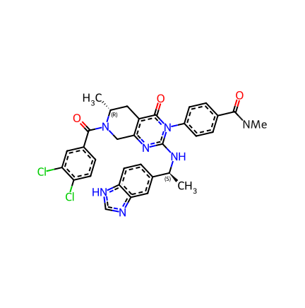 CNC(=O)c1ccc(-n2c(N[C@@H](C)c3ccc4[nH]cnc4c3)nc3c(c2=O)C[C@@H](C)N(C(=O)c2ccc(Cl)c(Cl)c2)C3)cc1